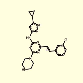 Clc1cccc(/C=C/c2nc(Nc3cc(C4CC4)[nH]n3)nc(N3CCNCC3)n2)c1